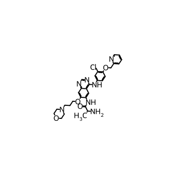 C[C@H](N)C(=O)Nc1cc2c(Nc3ccc(OCc4ccccn4)c(Cl)c3)ncnc2cc1OCCCN1CCOCC1